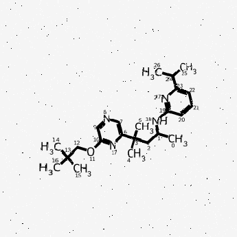 CC(CC(C)(C)c1cncc(OCC(C)(C)C)n1)Nc1cccc(C(C)C)n1